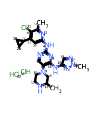 Cc1nc(Nc2ncc(N3CCNC(C)C3)c(Nc3cnn(C)n3)n2)cc(C2CC2)c1Cl.Cl.Cl